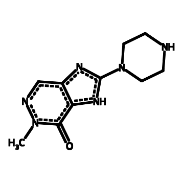 Cn1ncc2nc(N3CCNCC3)[nH]c2c1=O